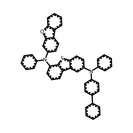 c1ccc(-c2ccc(N(c3ccccc3)c3ccc4sc5c(N(c6ccccc6)c6ccc7c(c6)oc6ccccc67)cccc5c4c3)cc2)cc1